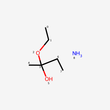 CCOC(C)(O)CC.N